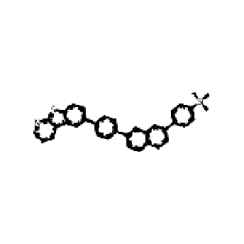 C[Si](C)(C)c1ccc(-c2ccc3ccc(-c4ccc(-c5ccc6sc7ncccc7c6c5)cc4)cc3c2)cc1